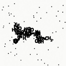 C=CCON=C(Cn1nnnc1SCC1=C(C(=O)O)N2C(=O)C(NC(=O)C(=NOCc3ccccc3)c3csc(NC(=O)C(F)(F)F)n3)[C@@H]2SC1)C(=O)O